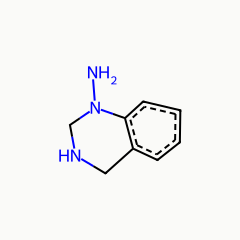 NN1CNCc2ccccc21